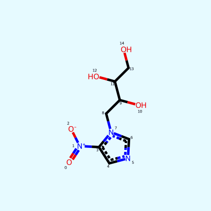 O=[N+]([O-])c1cncn1CC(O)C(O)CO